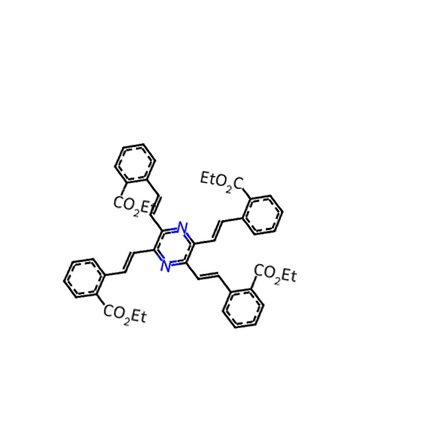 CCOC(=O)c1ccccc1/C=C/c1nc(/C=C/c2ccccc2C(=O)OCC)c(/C=C/c2ccccc2C(=O)OCC)nc1/C=C/c1ccccc1C(=O)OCC